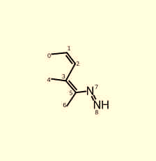 C/C=C\C(C)=C(\C)N=N